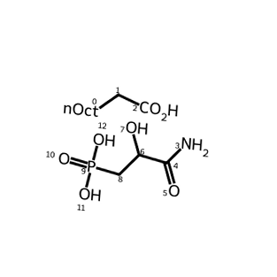 CCCCCCCCCC(=O)O.NC(=O)C(O)CP(=O)(O)O